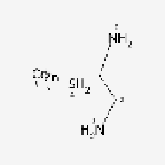 NCCN.S.[Cd].[Zn]